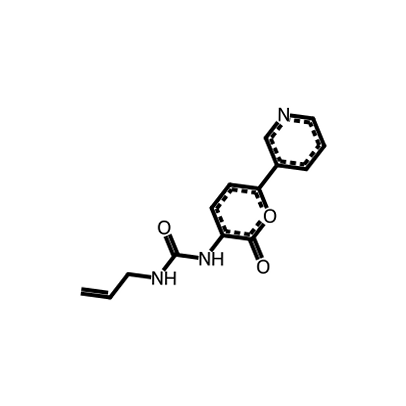 C=CCNC(=O)Nc1ccc(-c2cccnc2)oc1=O